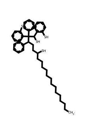 [CH2]CCCCCCCCCCCCCC(S)CCC(c1ccccc1)C([C](S)c1ccccc1S)(c1ccccc1)c1ccccc1S